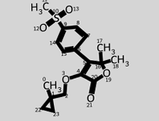 CC1(COC2=C(c3ccc(S(C)(=O)=O)cc3)C(C)(C)OC2=O)CC1